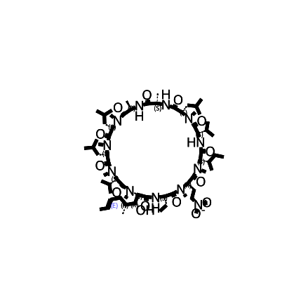 C/C=C/C[C@@H](C)[C@@H](O)[C@H]1C(=O)N[C@@H](CC)C(=O)N(C)[C@H](CC[N+](=O)[O-])C(=O)N(C)[C@@H](C(C)CC)C(=O)N[C@@H](C(C)C)C(=O)N(C)[C@@H](CC(C)C)C(=O)N[C@@H](C)C(=O)N[C@H](C)C(=O)N(C)[C@@H](CC(C)C)C(=O)N(C)[C@@H](CC(C)C)C(=O)N(C)[C@@H](C(C)C)C(=O)N1C